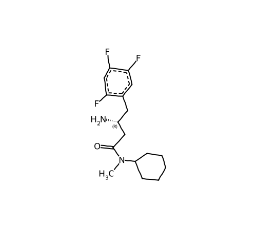 CN(C(=O)C[C@H](N)Cc1cc(F)c(F)cc1F)C1CCCCC1